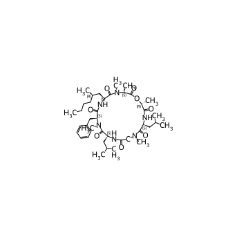 CCCC[C@@H](C)C[C@@H]1NC(=O)[C@H](Cc2ccccc2)N(C)C(=O)[C@H](CC(C)C)NC(=O)CN(C)C(=O)[C@H](CC(C)C)NC(=O)[C@@H](C)OC(=O)[C@H](C)N(C)C1=O